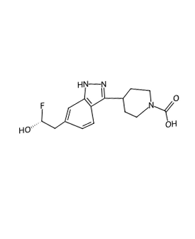 O=C(O)N1CCC(c2n[nH]c3cc(C[C@H](O)F)ccc23)CC1